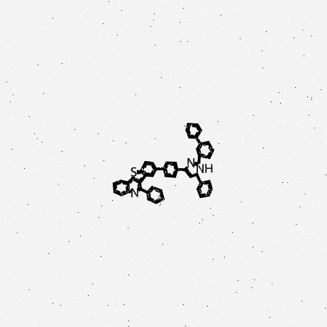 C1=C(c2ccc(-c3ccc4sc5c6ccccc6nc(-c6ccccc6)c5c4c3)cc2)N=C(c2cccc(-c3ccccc3)c2)NC1c1ccccc1